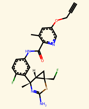 C#CCOc1cnc(C(=O)Nc2ccc(F)c([C@@]3(C)N=C(N)S[C@@]4(CF)C[C@H]43)c2)c(C)c1